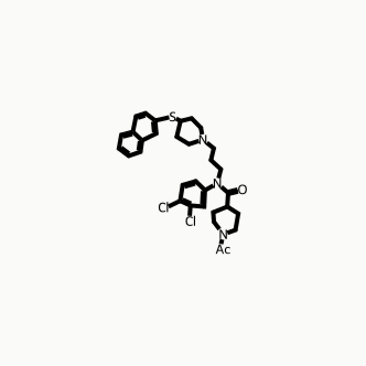 CC(=O)N1CCC(C(=O)N(CCCN2CCC(Sc3ccc4ccccc4c3)CC2)c2ccc(Cl)c(Cl)c2)CC1